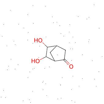 O=C1CC2CC1C(O)C2O